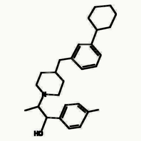 Cc1ccc(C(O)C(C)N2CCC(Cc3cccc(C4CCCCC4)c3)CC2)cc1